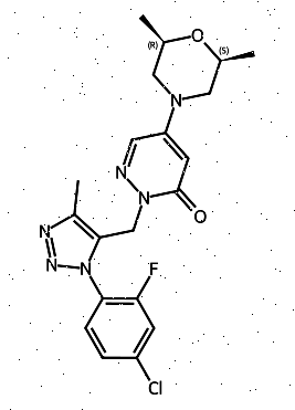 Cc1nnn(-c2ccc(Cl)cc2F)c1Cn1ncc(N2C[C@@H](C)O[C@@H](C)C2)cc1=O